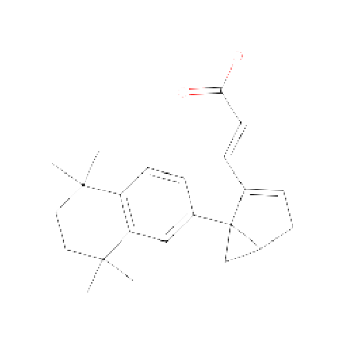 CC1(C)CCC(C)(C)c2cc(C34CC3CC=C4C=CC(=O)O)ccc21